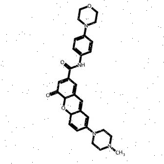 CN1CCN(C2=CC3=CC4=CC(C(=O)Nc5ccc(N6CCOCC6)cc5)=CC(=O)C4OC3C=C2)CC1